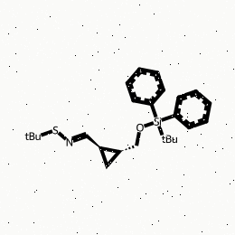 CC(C)(C)S/N=C/[C@@H]1C[C@H]1CO[Si](c1ccccc1)(c1ccccc1)C(C)(C)C